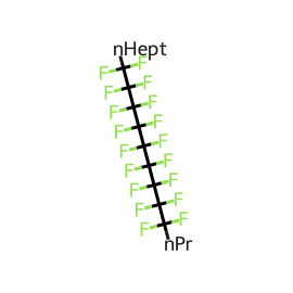 CCCCCCCC(F)(F)C(F)(F)C(F)(F)C(F)(F)C(F)(F)C(F)(F)C(F)(F)C(F)(F)C(F)(F)CCC